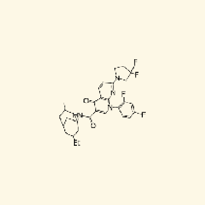 CCC1CC2CC(C)CC(NC(=O)c3cn(-c4ccc(F)cc4F)c4nc(N5CCC(F)(F)C5)ccc4c3=O)(C1)C2